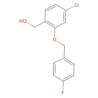 OCc1ccc(Cl)cc1OCc1ccc(F)cc1